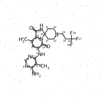 Cc1cc(Nc2ncnc(N)c2C)c(=O)n2c1C(=O)NC21CCN(CCC(F)(F)F)CC1